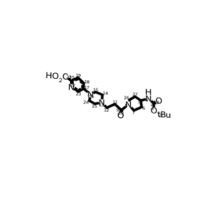 CC(C)(C)OC(=O)NC1CCN(C(=O)CCN2CCN(c3ccc(C(=O)O)nc3)CC2)CC1